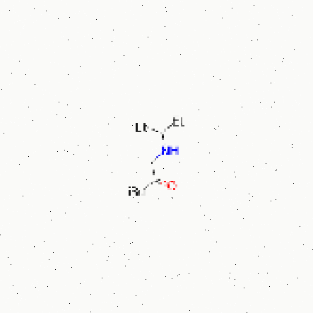 CCC(CC)NCC(=O)C(C)CC